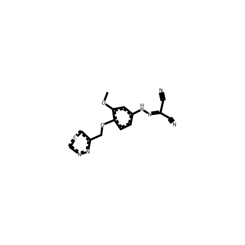 COc1cc(NN=C(C#N)C#N)ccc1OCc1cccnn1